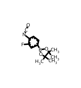 CC1(C)OB(c2ccc(N=C=O)c(F)c2)OC1(C)C